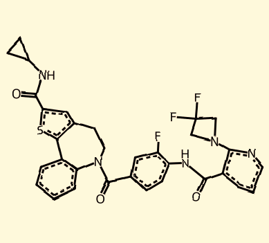 O=C(NC1CC1)c1cc2c(s1)-c1ccccc1N(C(=O)c1ccc(NC(=O)c3cccnc3N3CC(F)(F)C3)c(F)c1)CC2